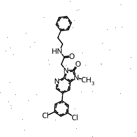 Cn1c(=O)n(CC(=O)NCCc2ccccc2)c2ncc(-c3cc(Cl)cc(Cl)c3)cc21